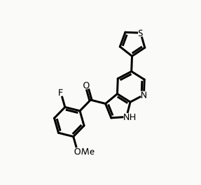 COc1ccc(F)c(C(=O)c2c[nH]c3ncc(-c4ccsc4)cc23)c1